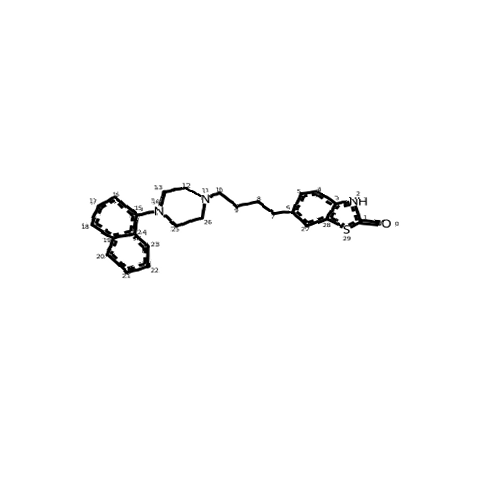 O=c1[nH]c2ccc(CCCCN3CCN(c4cccc5ccccc45)CC3)cc2s1